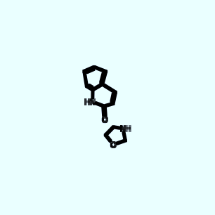 C1COCN1.O=c1ccc2ccccc2[nH]1